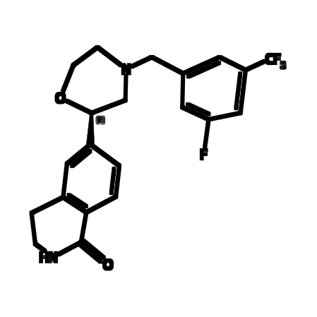 O=C1NCCc2cc([C@@H]3CN(Cc4cc(F)cc(C(F)(F)F)c4)CCO3)ccc21